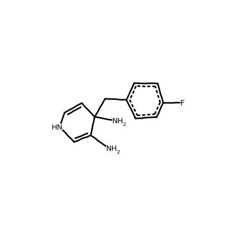 NC1=CNC=CC1(N)Cc1ccc(F)cc1